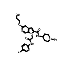 CC(C)N1CCC(NC(=O)c2cc3cc(OCCO)ncc3n2CC(=O)Nc2ccc(Cl)cn2)CC1